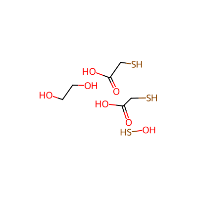 O=C(O)CS.O=C(O)CS.OCCO.OS